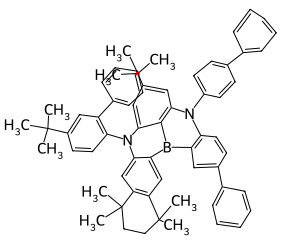 CC(C)(C)c1ccc(N2c3cc4c(cc3B3c5cc(-c6ccccc6)ccc5N(c5ccc(-c6ccccc6)cc5)c5cc(C(C)(C)C)cc2c53)C(C)(C)CCC4(C)C)c(-c2ccccc2)c1